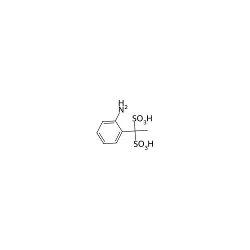 CC(c1ccccc1N)(S(=O)(=O)O)S(=O)(=O)O